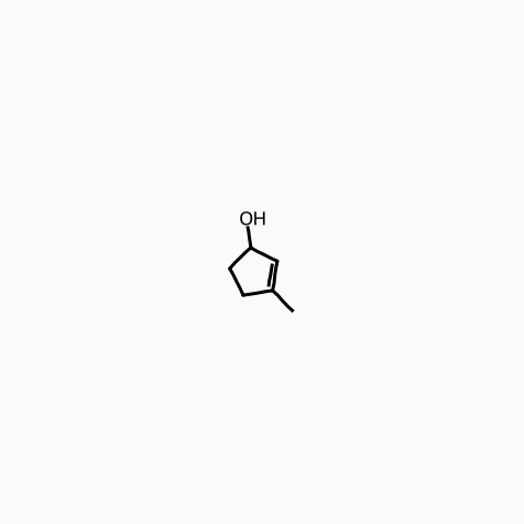 CC1=CC(O)CC1